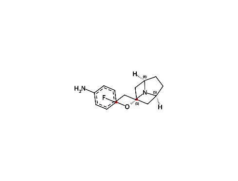 Nc1ccc(O[C@@H]2C[C@H]3CC[C@@H](C2)N3CCCF)cc1